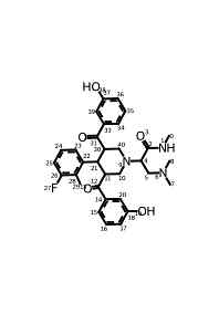 CNC(=O)C(CN(C)C)N1CC(C(=O)c2cccc(O)c2)C(c2cccc(F)c2C)C(C(=O)c2cccc(O)c2)C1